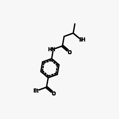 CCC(=O)c1ccc(NC(=O)CC(C)S)cc1